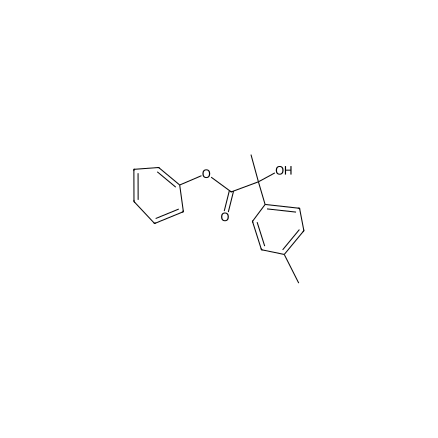 Cc1ccc(C(C)(O)C(=O)Oc2ccccc2)cc1